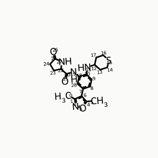 Cc1noc(C)c1-c1ccc(NC2CCSCC2)c(NC(=O)C2CCC(=O)N2)c1